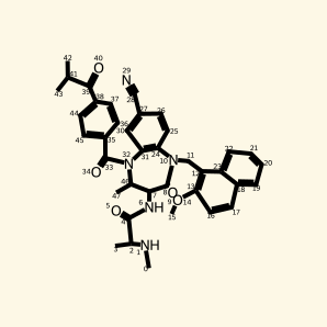 CNC(C)C(=O)NC1C(=O)N(Cc2c(OC)ccc3ccccc23)c2ccc(C#N)cc2N(C(=O)c2ccc(C(=O)C(C)C)cc2)C1C